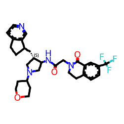 O=C(CN1CCc2ccc(C(F)(F)F)cc2C1=O)NC1CN(C2CCOCC2)C[C@@H]1CC1CCc2ccncc21